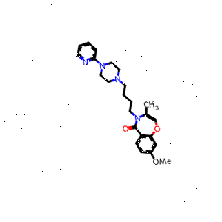 COc1ccc2c(c1)OC=C(C)N(CCCCN1CCN(c3ccccn3)CC1)C2=O